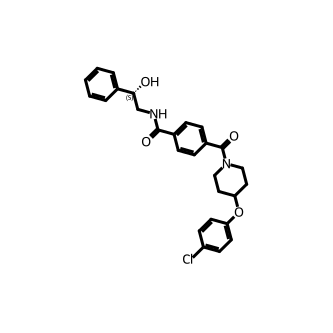 O=C(NC[C@@H](O)c1ccccc1)c1ccc(C(=O)N2CCC(Oc3ccc(Cl)cc3)CC2)cc1